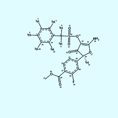 [2H]c1c([2H])c([2H])c(C([2H])([2H])S(=O)(=O)OC2=C(N)O[C@@]([2H])(c3ccc(C(=O)OC)c(F)c3)C2=O)c([2H])c1[2H]